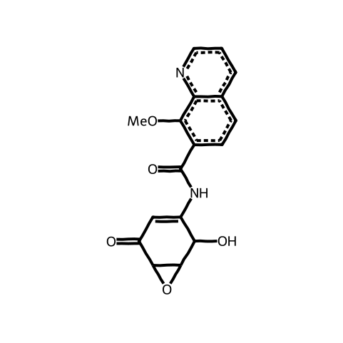 COc1c(C(=O)NC2=CC(=O)C3OC3C2O)ccc2cccnc12